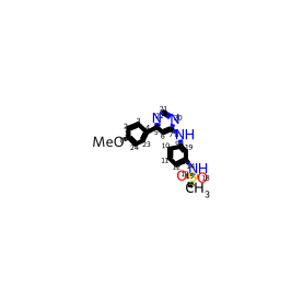 COc1ccc(-c2cc(Nc3cccc(NS(C)(=O)=O)c3)ncn2)cc1